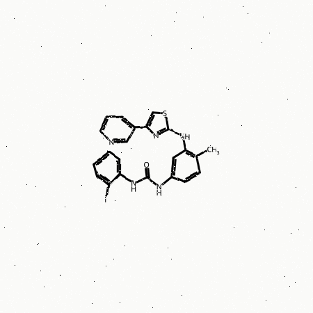 Cc1ccc(NC(=O)Nc2ccccc2I)cc1Nc1nc(-c2cccnc2)cs1